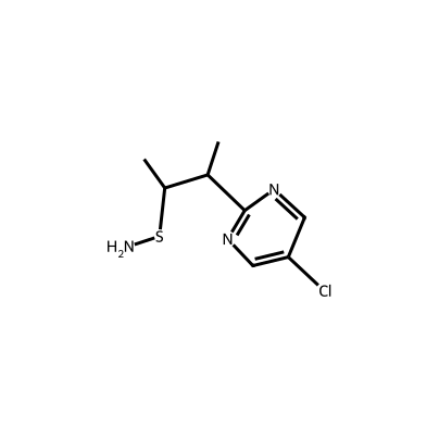 CC(SN)C(C)c1ncc(Cl)cn1